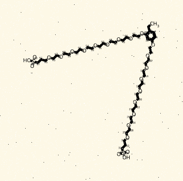 CCc1ccc(OCCOCCOCCOCCOCCOCCOCCOCCOCCCS(=O)(=O)O)cc1OCCOCCOCCOCCOCCOCCOCCOCCOCCCS(=O)(=O)O